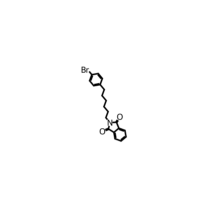 O=C1c2ccccc2C(=O)N1CCCCCCc1ccc(Br)cc1